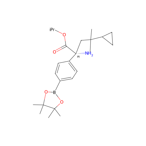 CC(C)OC(=O)[C@@](N)(CC(C)(C)C1CC1)c1ccc(B2OC(C)(C)C(C)(C)O2)cc1